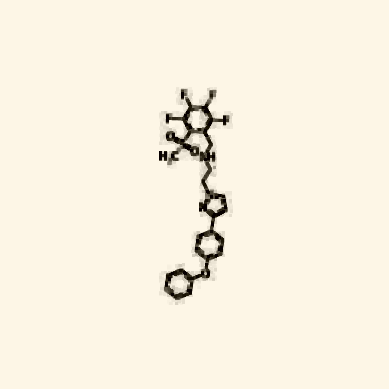 CS(=O)(=O)c1c(F)c(F)c(F)c(F)c1CNCCn1ccc(-c2ccc(Oc3ccccc3)cc2)n1